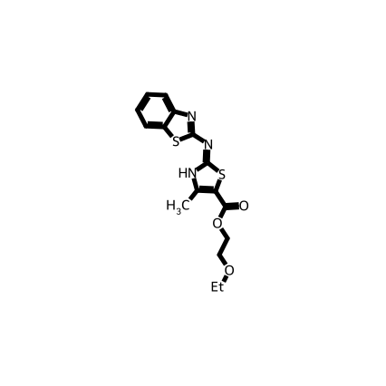 CCOCCOC(=O)c1s/c(=N/c2nc3ccccc3s2)[nH]c1C